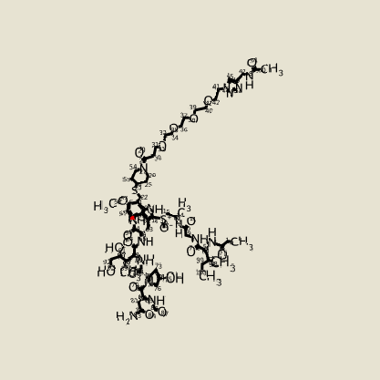 CCC(=O)N[C@H](C(=O)NCC(=O)N[C@H](C)C[S+]([O-])c1[nH]c2c(CSC3CCN(C(=O)CCOCCOCCOCCOCCn4cc(CNC(C)=O)nn4)CC3)c(OC)ccc2c1C[C@H](NC(=O)[C@@H](NC(=O)[C@@H]1C[C@@H](O)CN1C(=O)[C@H](CC(N)=O)NC=O)[C@@H](C)[C@@H](O)CO)C(N)=O)[C@@H](C)CC